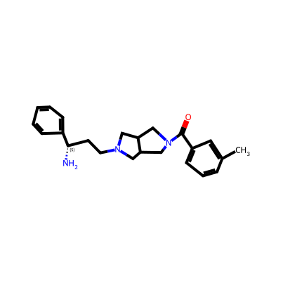 Cc1cccc(C(=O)N2CC3CN(CC[C@H](N)c4ccccc4)CC3C2)c1